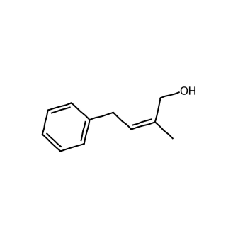 C/C(=C/Cc1ccccc1)CO